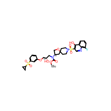 CC(C)(C)OC(=O)N(C[C@H](O)COc1cccc(S(=O)(=O)C2CC2)c1)[C@H]1COC2(CCN(S(=O)(=O)c3cnc4c(F)cccc4c3O)CC2)C1